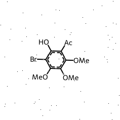 COc1c(Br)c(O)c(C(C)=O)c(OC)c1OC